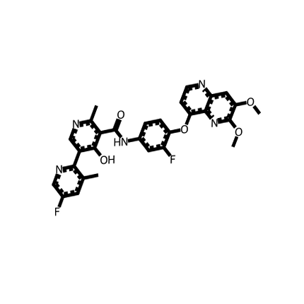 COc1cc2nccc(Oc3ccc(NC(=O)c4c(C)ncc(-c5ncc(F)cc5C)c4O)cc3F)c2nc1OC